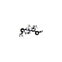 COCc1cccc(CN/C(C)=C(\N=N)c2cc(-c3cccc(C#N)c3)nc(N)n2)n1